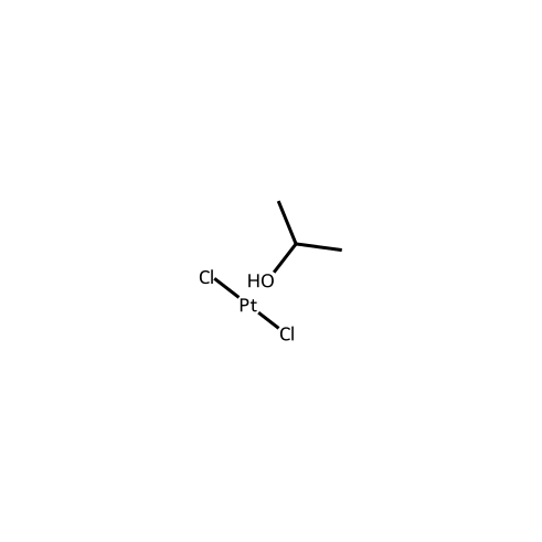 CC(C)O.[Cl][Pt][Cl]